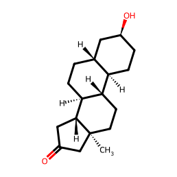 C[C@@]12CC[C@H]3[C@@H]4CC[C@H](O)C[C@H]4CC[C@@H]3[C@H]1CC(=O)C2